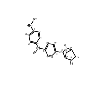 FNc1ccc(N(F)c2ccc(C3OC4CNC3C4)cc2)cn1